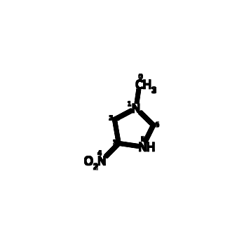 CN1[CH]C([N+](=O)[O-])NC1